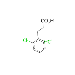 Cl.O=C(O)CCc1ccccc1Cl